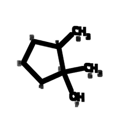 CC1CCCC1(C)O